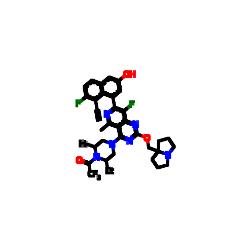 C#Cc1c(F)ccc2cc(O)cc(-c3nc(C)c4c(N5CC(CC)N(C(=O)C(F)(F)F)C(CC)C5)nc(OCC56CCCN5CCC6)nc4c3F)c12